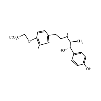 CCOC(=O)COc1ccc(CCN[C@@H](C)[C@@H](O)c2ccc(O)cc2)cc1F